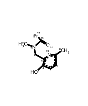 Cc1ccc(O)c(CN(C)C(=O)C(C)C)n1